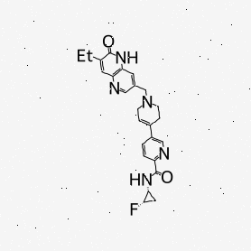 CCc1cc2ncc(CN3CC=C(c4ccc(C(=O)N[C@@H]5C[C@@H]5F)nc4)CC3)cc2[nH]c1=O